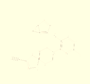 C#CC1=NOC2(CCN(c3nc(C)ccc3[N+](=O)[O-])CC2)C1.c1cc2cc-2c1